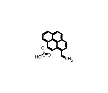 C=Cc1ccc2ccc3cccc4ccc1c2c34.O=[PH](O)O